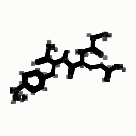 CN(C(=O)[C@H](CCC(N)=O)NC(=O)OC(C)(C)C)[C@@H](Cc1ccc(NS(=O)(=O)O)cc1)C(N)=O